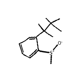 C[S+]([O-])c1ccccc1C(C)(C)C(C)(C)C